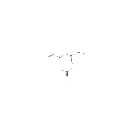 C=CCOC(N)CC.CC(=O)O